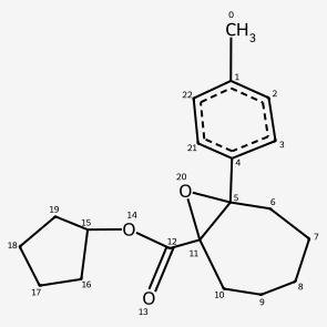 Cc1ccc(C23CCCCCC2(C(=O)OC2CCCC2)O3)cc1